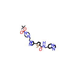 CC(C)(C)OC(=O)N1CCN(CCn2cc(-c3ccc(C(=O)NCc4ccn5ccnc5c4)s3)cn2)CC1